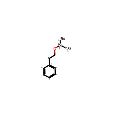 CC(C)(C)[SiH](OCCc1ccccc1)C(C)(C)C